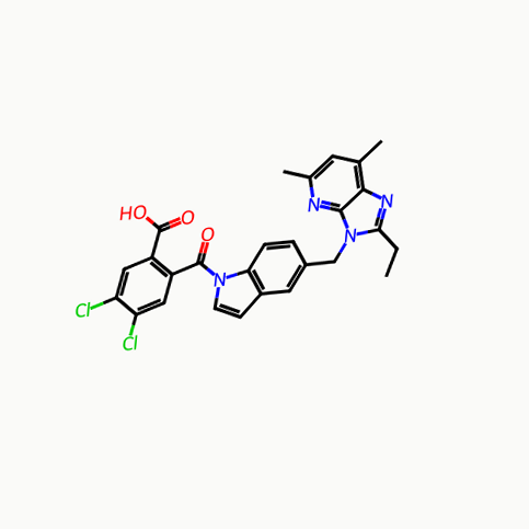 CCc1nc2c(C)cc(C)nc2n1Cc1ccc2c(ccn2C(=O)c2cc(Cl)c(Cl)cc2C(=O)O)c1